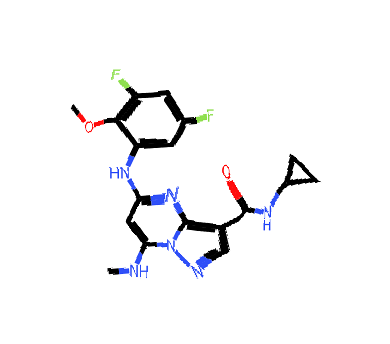 CNc1cc(Nc2cc(F)cc(F)c2OC)nc2c(C(=O)NC3CC3)cnn12